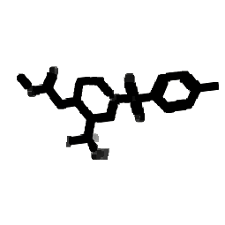 COC(=O)CC1CCN(S(=O)(=O)c2ccc(C)cc2)CC1[C@@H](O)I